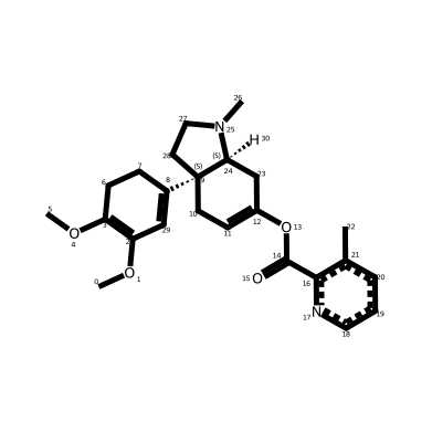 COC1=C(OC)CCC([C@@]23CC=C(OC(=O)c4ncccc4C)C[C@@H]2N(C)CC3)=C1